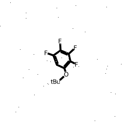 CC(C)(C)Oc1cc(F)c(F)c(F)c1F